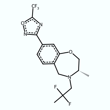 C[C@H]1COc2cc(-c3noc(C(F)(F)F)n3)ccc2CN1CC(C)(F)F